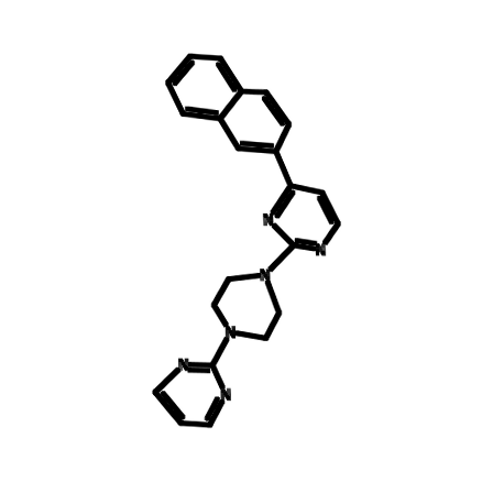 c1cnc(N2CCN(c3nccc(-c4ccc5ccccc5c4)n3)CC2)nc1